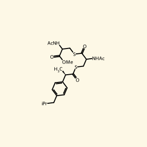 COC(=O)C(CSC(=O)C(CSC(=O)[C@H](C)c1ccc(CC(C)C)cc1)NC(C)=O)NC(C)=O